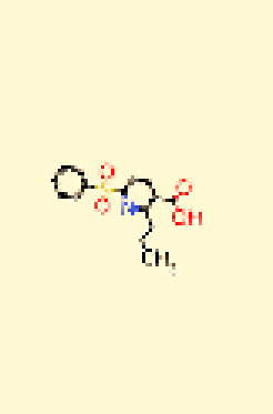 CCCc1nc(S(=O)(=O)c2ccccc2)ccc1C(=O)O